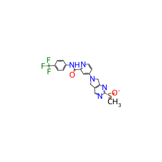 C[S+]([O-])c1ncc2c(n1)CN(c1ccnc(C(=O)Nc3ccc(C(F)(F)F)cc3)c1)C2